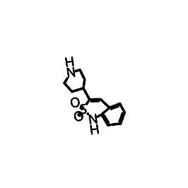 O=S1(=O)Nc2ccccc2C=C1C1CCNCC1